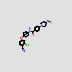 N#Cc1ccc(OC23CCC(NC(=O)c4ccc(N5CCC(N=O)CC5)cc4)(CC2)CC3)cc1Cl